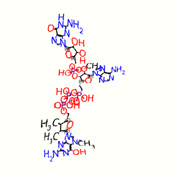 COC1C(OP(=O)(O)OC[C@H]2O[C@@H](n3cnc4c(=O)[nH]c(N)nc43)C(O)C2O)[C@@H](CCP(=O)(O)OP(=O)(O)OP(=O)(O)OC[C@H]2O[C@@H](n3c[n+](C)c4c(O)nc(N)nc43)C(C)C2C)O[C@H]1n1cnc2c(N)ncnc21